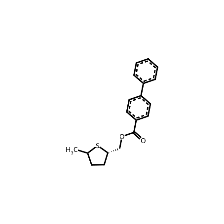 CC1CC[C@@H](COC(=O)c2ccc(-c3ccccc3)cc2)S1